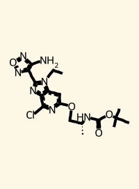 CCn1c(-c2nonc2N)nc2c(Cl)nc(OC[C@@H](C)NC(=O)OC(C)(C)C)cc21